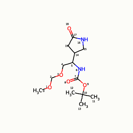 COCOCC(NC(=O)OC(C)(C)C)C1CNC(=O)C1